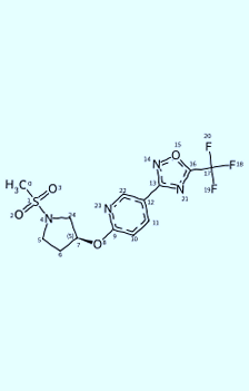 CS(=O)(=O)N1CC[C@H](Oc2ccc(-c3noc(C(F)(F)F)n3)cn2)C1